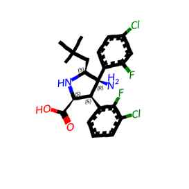 CC(C)(C)C[C@@H]1N[C@H](C(=O)O)[C@H](c2cccc(Cl)c2F)[C@@]1(N)c1ccc(Cl)cc1F